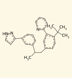 CC(Cc1ccc(C(C)(C)C)c(-c2ccccn2)c1)c1cccc(-c2cc[nH]n2)c1